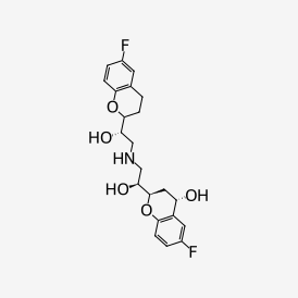 O[C@H]1C[C@H]([C@@H](O)CNC[C@H](O)C2CCc3cc(F)ccc3O2)Oc2ccc(F)cc21